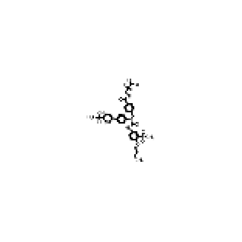 CCCCOc1ccc(NC(=O)N(Cc2ccc(C(=O)NCC(F)(F)C(=O)O)cc2)c2ccc(C3=CCC(C(C)(C)C)CC3)cc2)cc1S(C)(=O)=O